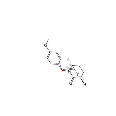 COc1ccc(CN2C(=O)[C@H]3CC[C@H]2/C(=C\F)C3)cc1